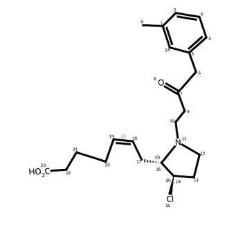 Cc1cccc(CC(=O)CCN2CC[C@@H](Cl)[C@@H]2C/C=C\CCCC(=O)O)c1